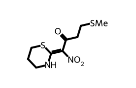 CSCCC(=O)/C(=C1/NCCCS1)[N+](=O)[O-]